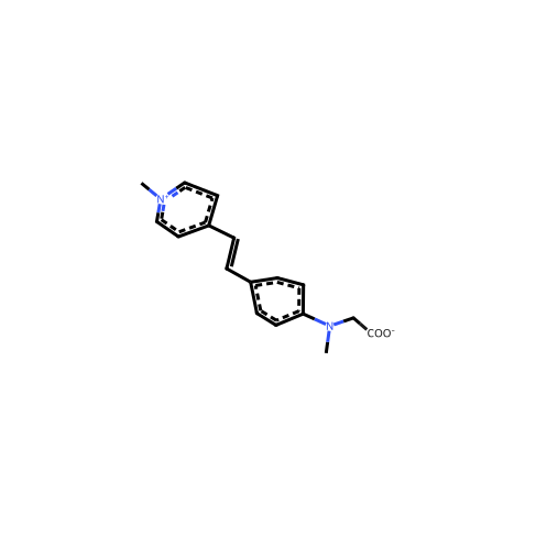 CN(CC(=O)[O-])c1ccc(/C=C/c2cc[n+](C)cc2)cc1